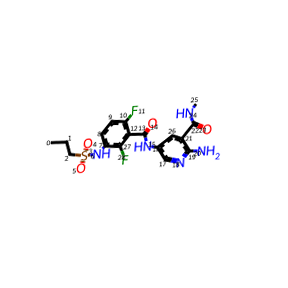 CCCS(=O)(=O)Nc1ccc(F)c(C(=O)Nc2cnc(N)c(C(=O)NC)c2)c1F